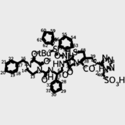 CC(C)(C)[Si](ON[C@@]1(NC(=O)C(NC(=O)N2CCN(Cc3ccccc3)C(=O)C2=O)c2ccccc2)C(=O)N2C(C(=O)O)=C(CSc3nnnn3CS(=O)(=O)O)CS[C@@H]21)(c1ccccc1)c1ccccc1